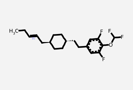 CC/C=C/C[C@H]1CC[C@H](CCc2cc(F)c(OC(F)F)c(F)c2)CC1